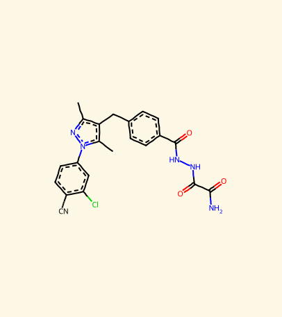 Cc1nn(-c2ccc(C#N)c(Cl)c2)c(C)c1Cc1ccc(C(=O)NNC(=O)C(N)=O)cc1